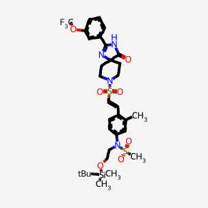 Cc1cc(N(CCO[Si](C)(C)C(C)(C)C)S(C)(=O)=O)ccc1C=CS(=O)(=O)N1CCC2(CC1)N=C(c1cccc(OC(F)(F)F)c1)NC2=O